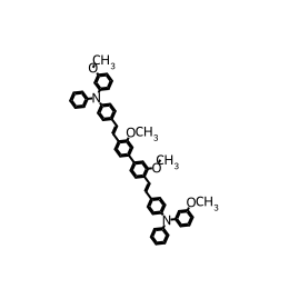 COc1cccc(N(c2ccccc2)c2ccc(C=Cc3ccc(-c4ccc(C=Cc5ccc(N(c6ccccc6)c6cccc(OC)c6)cc5)c(OC)c4)cc3OC)cc2)c1